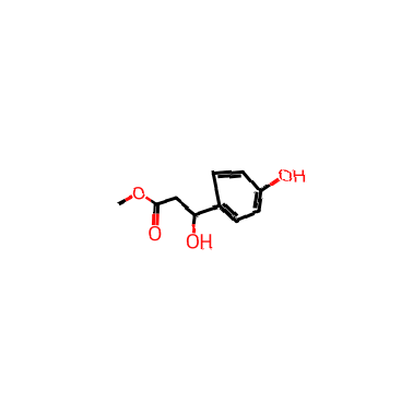 COC(=O)CC(O)c1ccc(O)cc1